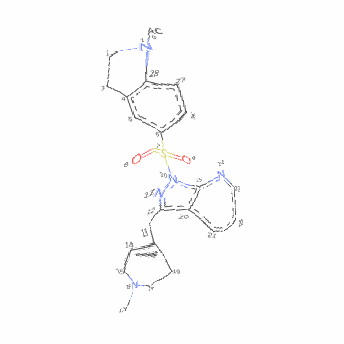 CC(=O)N1CCc2cc(S(=O)(=O)n3nc(C4=CCN(C)CC4)c4cccnc43)ccc21